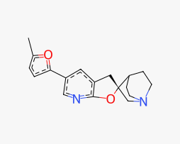 Cc1ccc(-c2cnc3c(c2)C[C@@]2(CN4CCC2CC4)O3)o1